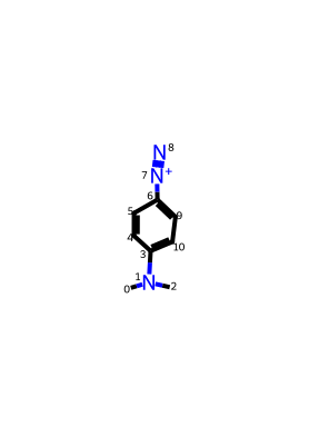 CN(C)c1ccc([N+]#N)cc1